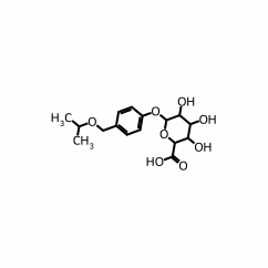 CC(C)OCc1ccc(OC2OC(C(=O)O)C(O)C(O)C2O)cc1